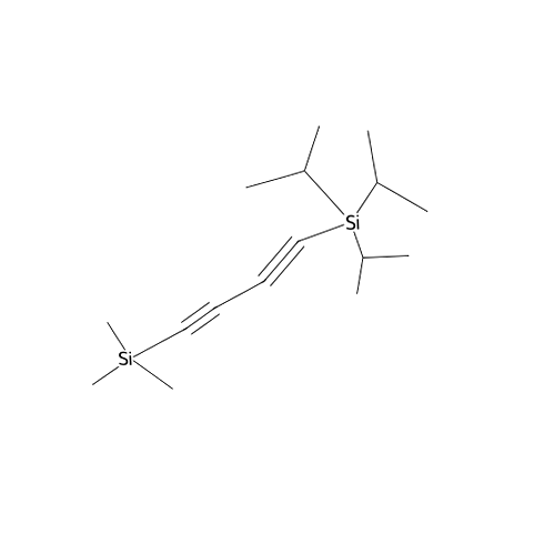 CC(C)[Si](C#CC#C[Si](C)(C)C)(C(C)C)C(C)C